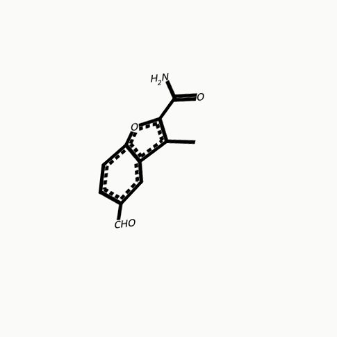 Cc1c(C(N)=O)oc2ccc(C=O)cc12